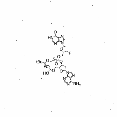 CC(C)(C)C(=O)OCSP(=O)(OC[C@H]1OC(n2cnc3c(=O)[nH]cnc32)CC1F)O[C@H]1CC(n2cnc3c(N)ncnc32)O[C@@H]1COP(O)O